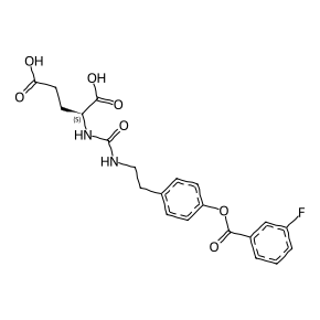 O=C(O)CC[C@H](NC(=O)NCCc1ccc(OC(=O)c2cccc(F)c2)cc1)C(=O)O